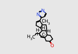 CCC1C=C2CC(=O)CC[C@]2(C)[C@H]2CC[C@]3(C)C(c4ccncn4)=CC[C@H]3[C@H]12